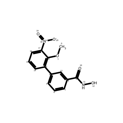 COc1c(-c2cccc(C(=O)NO)c2)cccc1[N+](=O)[O-]